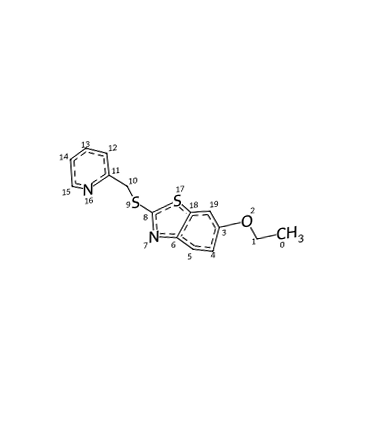 CCOc1ccc2nc(SCc3ccccn3)sc2c1